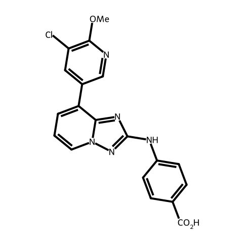 COc1ncc(-c2cccn3nc(Nc4ccc(C(=O)O)cc4)nc23)cc1Cl